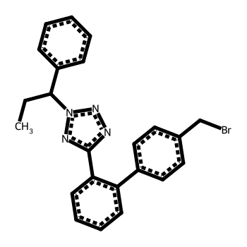 CCC(c1ccccc1)n1nnc(-c2ccccc2-c2ccc(CBr)cc2)n1